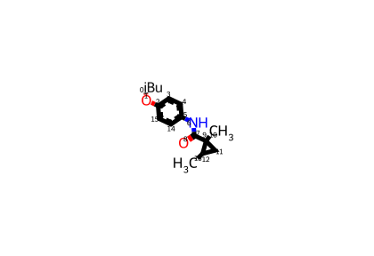 CCC(C)Oc1ccc(NC(=O)C2(C)CC2C)cc1